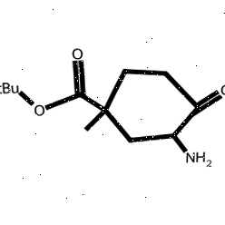 CC(C)(C)OC(=O)C1(C)CCC(=O)C(N)C1